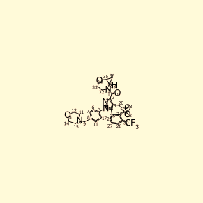 O=C(c1nn(-c2ccc(CN3CCOCC3)cc2)c2c1CS(=O)(=O)c1c-2cccc1C(F)(F)F)N1CCOC2C[C@@H]21